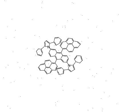 C1=CCCC(c2ccc(-c3ccccc3)n2-c2ccc3c(-c4ccc5ccc6cccc7ccc4c5c67)c4cc(-n5c(-c6ccccc6)ccc5C5C=CC=CC5)ccc4c(-c4ccc5ccc6cccc7ccc4c5c67)c3c2)=C1